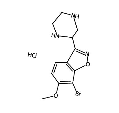 COc1ccc2c(C3CNCCN3)noc2c1Br.Cl